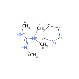 C1CCNCC1.CN=C(NC)N(C)C